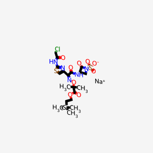 CC(C)(O/N=C(\C(=O)NC1CN(S(=O)(=O)[O-])C1=O)c1csc(NC(=O)CCl)n1)C(=O)OCC[Si](C)(C)C.[Na+]